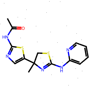 CC(=O)Nc1ncc(C2(C)CSC(Nc3ccccn3)=N2)s1